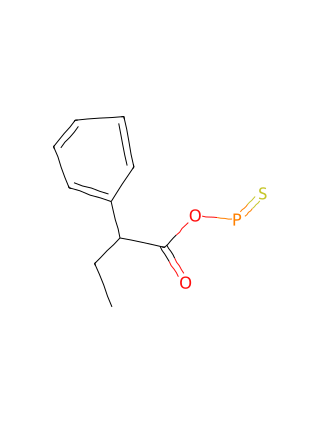 CCC(C(=O)OP=S)c1ccccc1